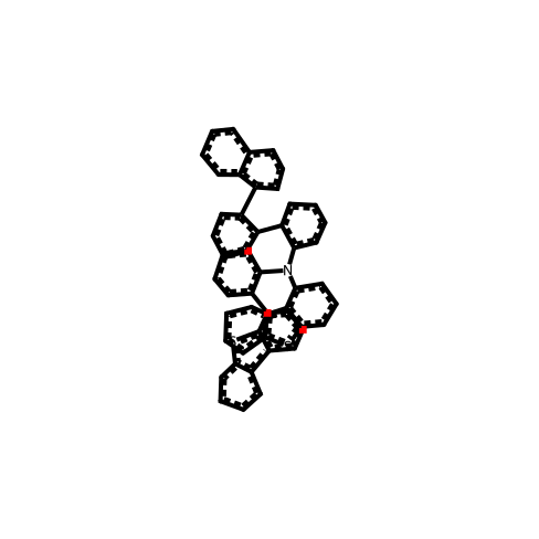 c1ccc(-c2cccc3ccccc23)c(-c2ccccc2N(c2ccccc2-c2cccc3c2sc2ccccc23)c2cccc3sc4ccccc4c23)c1